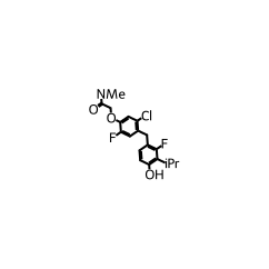 CNC(=O)COc1cc(Cl)c(Cc2ccc(O)c(C(C)C)c2F)cc1F